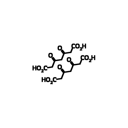 O=C(O)CC(=O)CC(=O)CC(=O)O.O=C(O)CC(=O)CC(=O)CC(=O)O